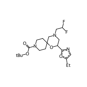 CCc1cnc(C2CN(CC(F)F)CC3(CCN(C(=O)OC(C)(C)C)CC3)O2)o1